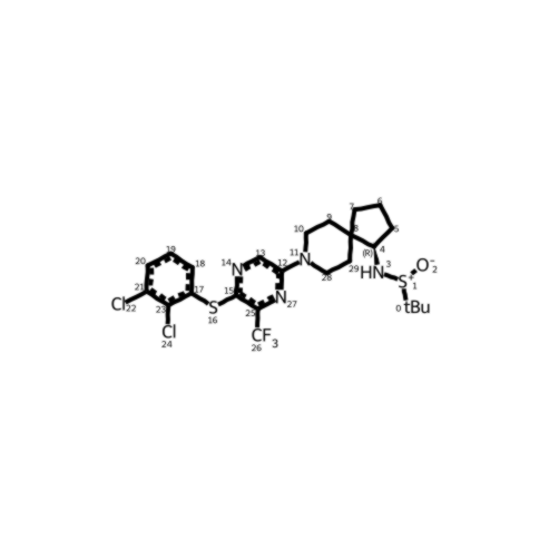 CC(C)(C)[S+]([O-])N[C@@H]1CCCC12CCN(c1cnc(Sc3cccc(Cl)c3Cl)c(C(F)(F)F)n1)CC2